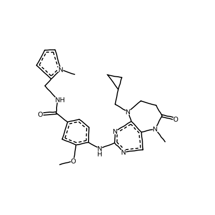 COc1cc(C(=O)NCc2cccn2C)ccc1Nc1ncc2c(n1)N(CC1CC1)CCC(=O)N2C